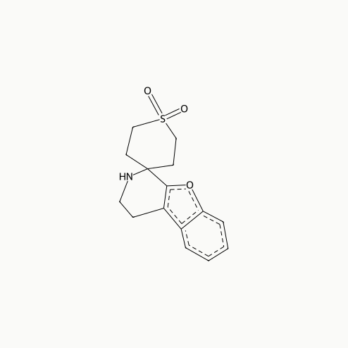 O=S1(=O)CCC2(CC1)NCCc1c2oc2ccccc12